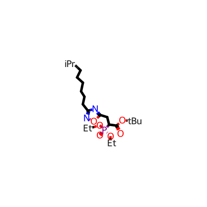 CCOP(=O)(OCC)C(Cc1nc(CCCCCCC(C)C)no1)C(=O)OC(C)(C)C